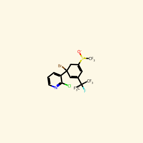 [O-][S+](C1=CC(C(F)(C(F)(F)F)C(F)(F)F)=CC(Br)(c2cccnc2Cl)[CH]1)C(F)(F)F